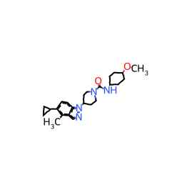 CO[C@H]1CC[C@H](NC(=O)N2CCC(n3ncc4c(C)c(C5CC5)ccc43)CC2)CC1